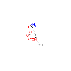 CCCCCCCCCCCC(N)=O.O=C(O)CC(=O)O